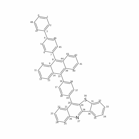 c1ccc(-c2ccc(-c3c4ccccc4c(-c4ccc(-c5c6ccccc6nc6c5sc5ccccc56)cc4)c4ccccc34)cc2)cc1